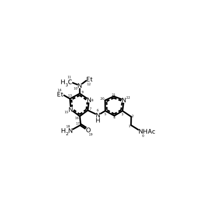 [CH2]C(=O)NCCc1cc(Nc2nc(N(C)CC)c(CC)nc2C(N)=O)ccn1